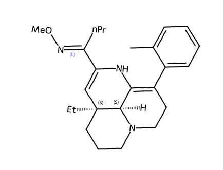 CCC/C(=N\OC)C1=C[C@]2(CC)CCCN3CCC(c4ccccc4C)=C(N1)[C@@H]32